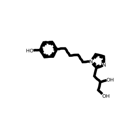 OCC(O)Cc1nccn1CCCCc1ccc(O)cc1